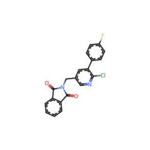 O=C1c2ccccc2C(=O)N1Cc1cnc(Cl)c(-c2ccc(F)cc2)c1